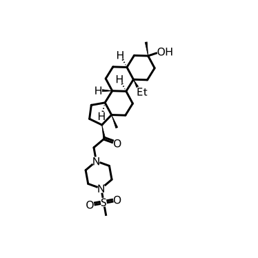 CC[C@]12CC[C@@](C)(O)C[C@@H]1CC[C@H]1[C@@H]3CC[C@H](C(=O)CN4CCN(S(C)(=O)=O)CC4)[C@@]3(C)CC[C@@H]12